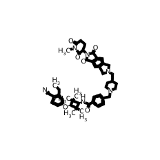 CCc1cc(O[C@H]2C(C)(C)[C@H](NC(=O)c3ccc(CN4CCC(CN5Cc6cc7c(cc6C5)C(=O)N(C5CCC(=O)N(C)C5=O)C7=O)CC4)cc3)C2(C)C)ccc1C#N